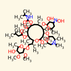 CO[C@@H]1[C@H](O)[C@@H](C)O[C@@H](OC[C@H](C)[C@H]2OC(=O)[C@H](C)[C@@H](O[C@H]3C[C@H](C)N(C)C[C@H](C)O3)[C@H](C)[C@@H](O[C@@H]3O[C@H](C)C/C(=N\O)[C@H]3O)[C@@H](C)C[C@](C)(OC(=O)NC(C)C)C(=O)[C@H](C)[C@H](OC(=O)CC(C)C)[C@H]2C)[C@@H]1OC